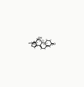 C[C@@]12CC=C3C4=CCC5=CC(=O)CC[C@]5(C)C4CC[C@]31C(O)CC2